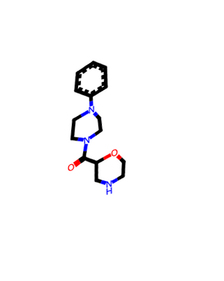 O=C(C1CNCCO1)N1CCN(c2ccccc2)CC1